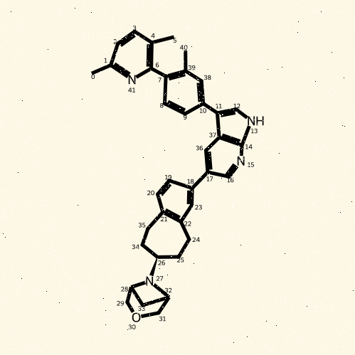 Cc1ccc(C)c(-c2ccc(-c3c[nH]c4ncc(-c5ccc6c(c5)CC[C@@H](N5C7COCC5C7)CC6)cc34)cc2C)n1